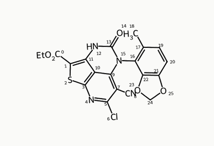 CCOC(=O)c1sc2nc(Cl)c(C#N)c3c2c1NC(=O)N3c1c(C)ccc2c1OCO2